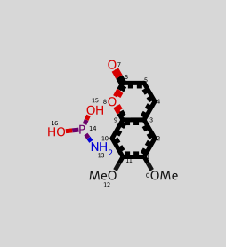 COc1cc2ccc(=O)oc2cc1OC.NP(O)O